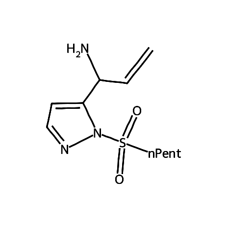 C=CC(N)c1ccnn1S(=O)(=O)CCCCC